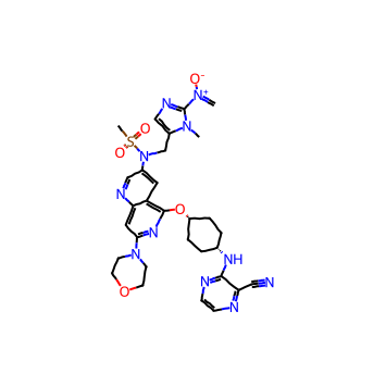 C=[N+]([O-])c1ncc(CN(c2cnc3cc(N4CCOCC4)nc(O[C@H]4CC[C@@H](Nc5nccnc5C#N)CC4)c3c2)S(C)(=O)=O)n1C